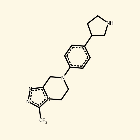 FC(F)(F)c1nnc2n1CCN(c1ccc(C3CCNC3)cc1)C2